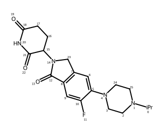 CC(C)N1CCN(c2cc3c(cc2F)C(=O)N(C2CCC(=O)NC2=O)C3)CC1